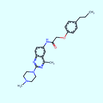 CCCc1ccc(OCC(=O)Nc2ccc3nc(N4CCN(C)CC4)nc(C)c3c2)cc1